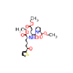 CCOC(=O)CC[C@H](NC(CCCC(=O)c1cccs1)C(=O)OCC)C(=O)N1CCC[C@H]1C(=O)OCC